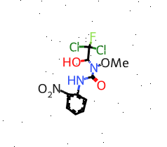 CON(C(=O)Nc1ccccc1[N+](=O)[O-])C(O)C(F)(Cl)Cl